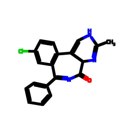 CC1=NC2C(=O)N=C(c3ccccc3)c3cc(Cl)ccc3C2=CN1